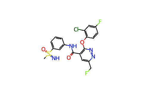 CS(=N)(=O)c1cccc(NC(=O)c2cc(CF)nnc2Oc2ccc(F)cc2Cl)c1